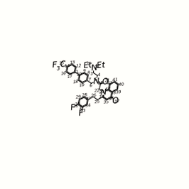 CCN(CC)CCN(Cc1ccc(-c2ccc(C(F)(F)F)cc2)cc1)C(=O)Cn1c(CCc2ccc(F)c(F)c2)cc(=O)c2ccccc21